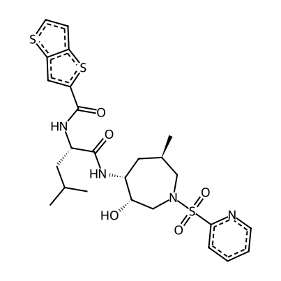 CC(C)C[C@H](NC(=O)c1cc2sccc2s1)C(=O)N[C@@H]1C[C@@H](C)CN(S(=O)(=O)c2ccccn2)C[C@@H]1O